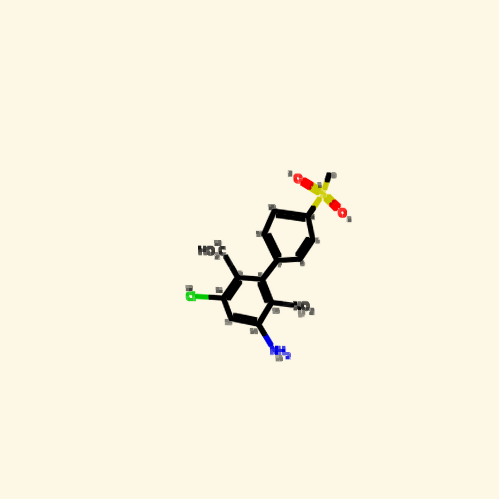 CS(=O)(=O)c1ccc(-c2c(C(=O)O)c(Cl)cc(N)c2[N+](=O)[O-])cc1